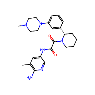 Cc1cc(NC(=O)C(=O)N2CCCC[C@H]2c2cccc(N3CCN(C)CC3)c2)cnc1N